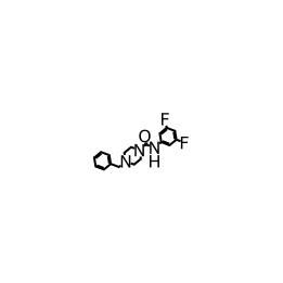 O=C(Nc1cc(F)cc(F)c1)N1CCN(Cc2ccccc2)CC1